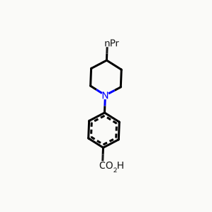 CCCC1CCN(c2ccc(C(=O)O)cc2)CC1